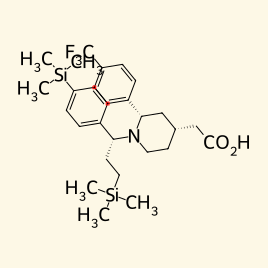 C[Si](C)(C)CC[C@H](c1ccc([Si](C)(C)C)cc1)N1CC[C@@H](CC(=O)O)C[C@H]1c1ccc(C(F)(F)F)cc1